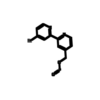 CCc1ccnc(-c2cc(COP=O)ccn2)c1